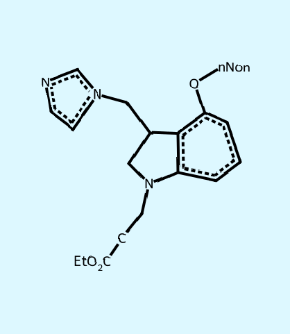 CCCCCCCCCOc1cccc2c1C(Cn1ccnc1)CN2CCC(=O)OCC